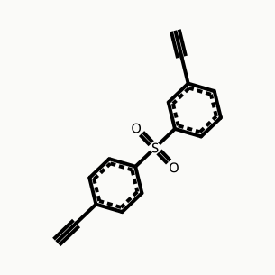 C#Cc1ccc(S(=O)(=O)c2cccc(C#C)c2)cc1